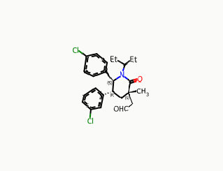 CCC(CC)N1C(=O)[C@](C)(CC=O)C[C@H](c2cccc(Cl)c2)[C@H]1c1ccc(Cl)cc1